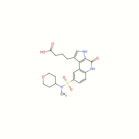 CN(C1CCOCC1)S(=O)(=O)c1ccc2[nH]c(=O)c3[nH]cc(CCCC(=O)O)c3c2c1